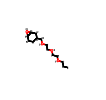 CCCOCCOCCOCC1CCC2OC2C1